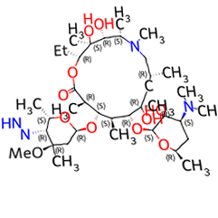 CC[C@H]1OC(=O)[C@H](C)[C@@H](O[C@H]2C[C@@](C)(OC)[C@H](N=N)[C@H](C)O2)[C@H](C)[C@@H](O[C@@H]2O[C@H](C)C[C@H](N(C)C)[C@H]2O)[C@](C)(O)C[C@@H](C)CN(C)[C@@H](C)[C@@H](O)[C@]1(C)O